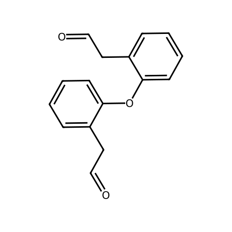 O=CCc1ccccc1Oc1ccccc1CC=O